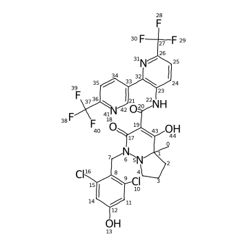 CC12CCCN1N(Cc1c(Cl)cc(O)cc1Cl)C(=O)C(C(=O)Nc1ccc(C(F)(F)F)nc1-c1ccc(C(F)(F)F)nc1)=C2O